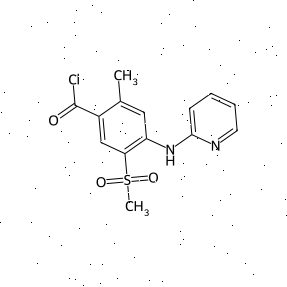 Cc1cc(Nc2ccccn2)c(S(C)(=O)=O)cc1C(=O)Cl